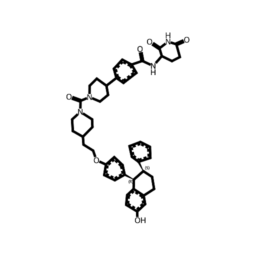 O=C1CCC(NC(=O)c2ccc(C3CCN(C(=O)N4CCC(CCOc5ccc([C@@H]6c7ccc(O)cc7CC[C@@H]6c6ccccc6)cc5)CC4)CC3)cc2)C(=O)N1